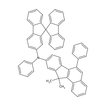 CC1(C)c2cc(N(c3ccccc3)c3ccc4c(c3)C3(c5ccccc5-c5ccccc53)c3ccccc3-4)ccc2-c2c(-c3ccccc3)cc3ccccc3c21